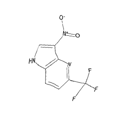 O=[N+]([O-])c1c[nH]c2ccc(C(F)(F)F)nc12